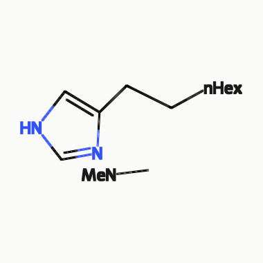 CCCCCCCCc1c[nH]cn1.CNC